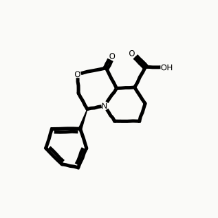 O=C(O)C1CCCN2C1C(=O)OC[C@@H]2c1ccccc1